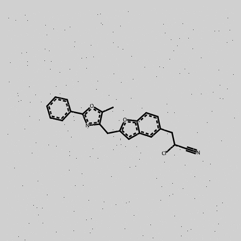 Cc1oc(-c2ccccc2)nc1Cc1cc2cc(CC(Cl)C#N)ccc2o1